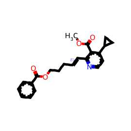 COC(=O)c1c(C2CC2)ccnc1/C=C/CCCOC(=O)c1ccccc1